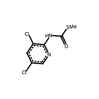 CSC(=O)Nc1ncc(Cl)cc1Cl